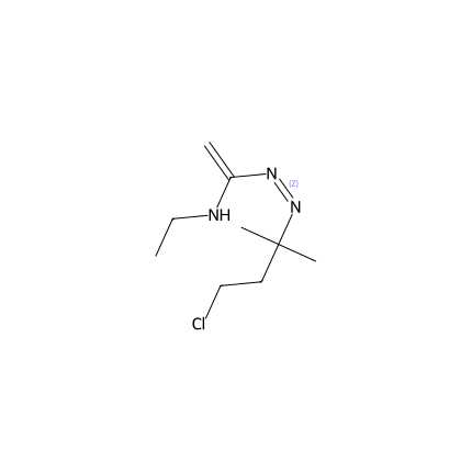 C=C(/N=N\C(C)(C)CCCl)NCC